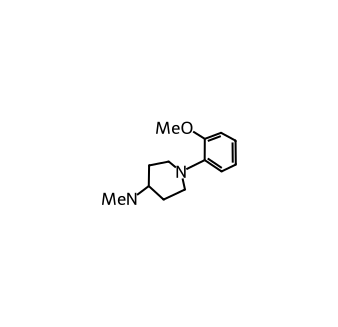 CNC1CCN(c2ccccc2OC)CC1